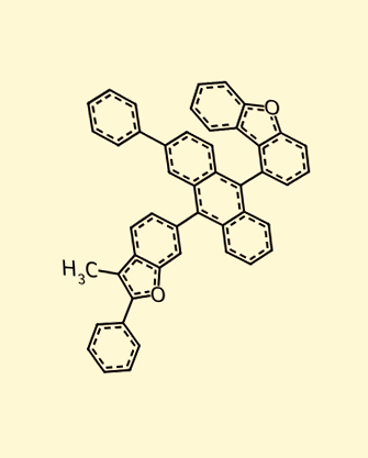 Cc1c(-c2ccccc2)oc2cc(-c3c4ccccc4c(-c4cccc5oc6ccccc6c45)c4ccc(-c5ccccc5)cc34)ccc12